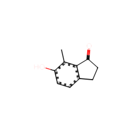 Cc1c(O)ccc2c1C(=O)CC2